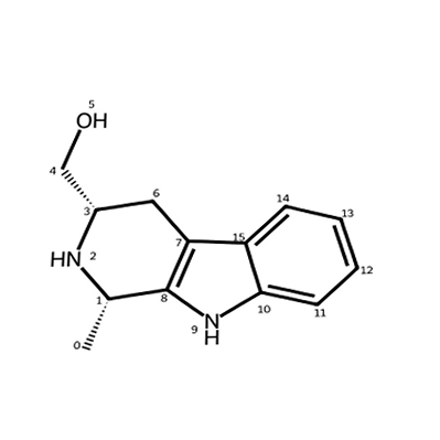 C[C@@H]1N[C@H](CO)Cc2c1[nH]c1ccccc21